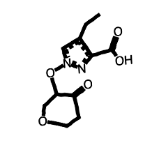 CCc1cn(OC2COCCC2=O)nc1C(=O)O